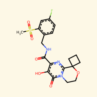 CS(=O)(=O)c1cc(F)ccc1CNC(=O)c1nc2n(c(=O)c1O)CCOC21CCC1